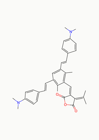 CC(C)=C1C(=O)OC(=O)/C1=C\c1c(C)c(/C=C/c2ccc(N(C)C)cc2)cc(/C=C/c2ccc(N(C)C)cc2)c1C